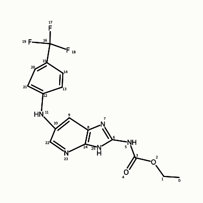 CCOC(=O)Nc1nc2cc(Nc3ccc(C(F)(F)F)cc3)cnc2[nH]1